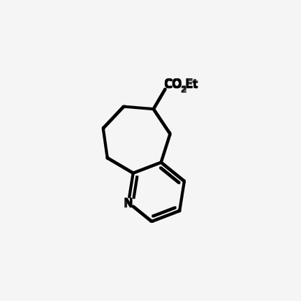 CCOC(=O)C1CCCc2ncccc2C1